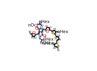 CCCCCCCCC(CCCCCC)CN1C(=O)C2=C(c3ccc(-c4cc(CCCCCC)c(-c5ccc(-c6sc(C)cc6CCCCCC)s5)s4)o3)N(CC(CCCCCC)CCCCCCCC)C(=O)C2=C1c1ccc(C)o1